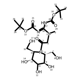 CN(CC(=O)N1[C@H](CO)[C@@H](O)C(O)[C@H](O)[C@H]1CO)C(=NC(=O)OC(C)(C)C)NC(=O)OC(C)(C)C